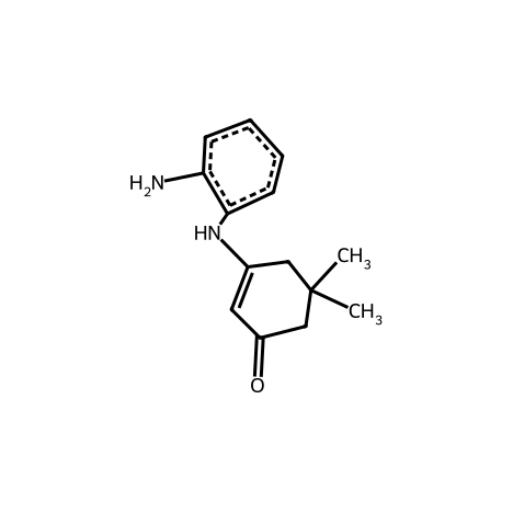 CC1(C)CC(=O)C=C(Nc2ccccc2N)C1